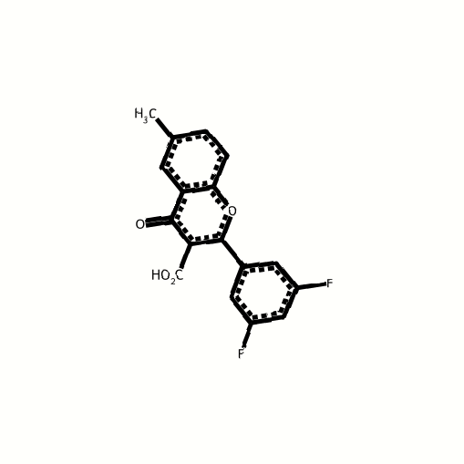 Cc1ccc2oc(-c3cc(F)cc(F)c3)c(C(=O)O)c(=O)c2c1